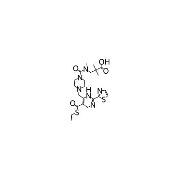 CCSC(=O)C1=C(CN2CCN(C(=O)N(C)CC(C)(C)C(=O)O)CC2)NC(c2nccs2)=NC1